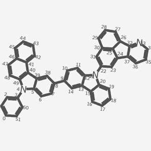 c1ccc(-n2c3ccc(-c4ccc5c(c4)c4ccccc4n5-c4cc5c6c(cccc6c4)-c4ncccc4-5)cc3c3c4ccccc4ccc32)cc1